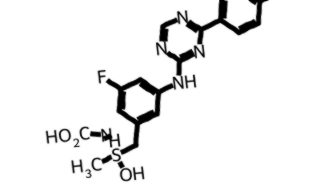 COc1cc(F)ccc1-c1ncnc(Nc2cc(F)cc(C[SH](C)(O)=NC(=O)O)c2)n1